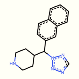 c1ccc2cc(C(C3CCNCC3)n3ncnn3)ccc2c1